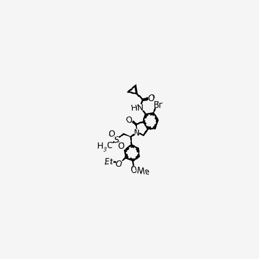 CCOc1cc([C@@H](CS(C)(=O)=O)N2Cc3ccc(Br)c(NC(=O)C4CC4)c3C2=O)ccc1OC